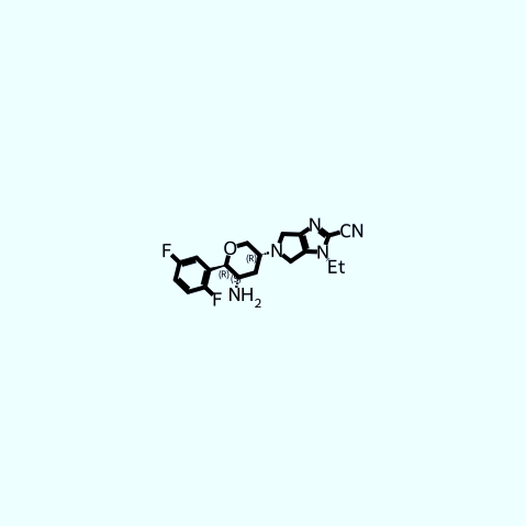 CCn1c(C#N)nc2c1CN([C@H]1CO[C@H](c3cc(F)ccc3F)[C@@H](N)C1)C2